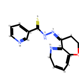 S=C(N/N=C1/CCOC2=CC=CCN=C21)c1cccnc1